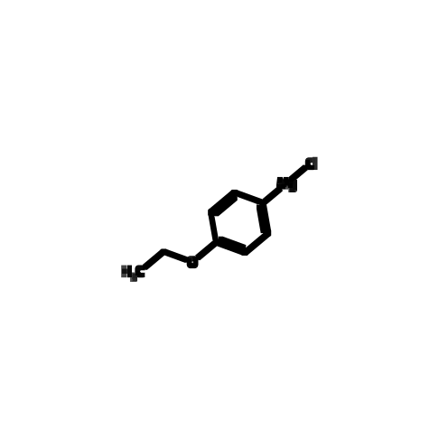 CCOc1cc[c]([Mg][Cl])cc1